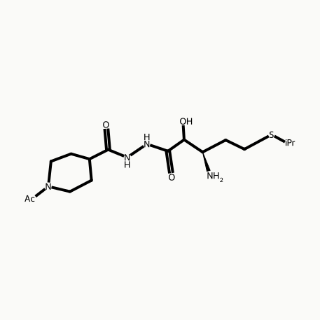 CC(=O)N1CCC(C(=O)NNC(=O)C(O)[C@H](N)CCSC(C)C)CC1